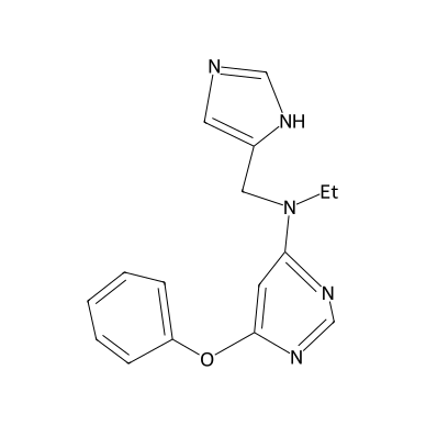 CCN(Cc1cnc[nH]1)c1cc(Oc2ccccc2)ncn1